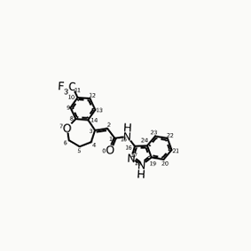 O=C(/C=C1\CCCOc2cc(C(F)(F)F)ccc21)Nc1n[nH]c2ccccc12